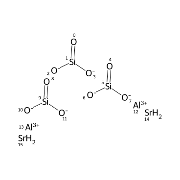 O=[Si]([O-])[O-].O=[Si]([O-])[O-].O=[Si]([O-])[O-].[Al+3].[Al+3].[SrH2].[SrH2]